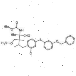 CC(Cc1ccc(Sc2cccc(OCc3ccccc3)c2)cc1Cl)C(C)(CO[SiH3])C(C=O)(NC(=O)OC(C)(C)C)C(C)(C)C